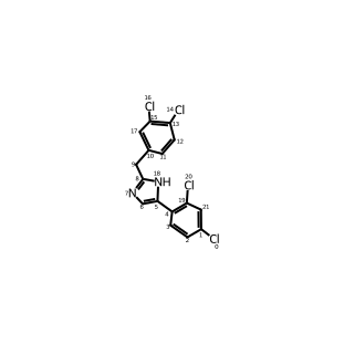 Clc1ccc(-c2cnc(Cc3ccc(Cl)c(Cl)c3)[nH]2)c(Cl)c1